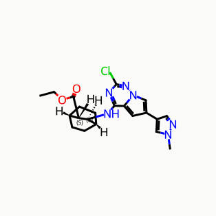 CCOC(=O)[C@H]1[C@H]2CC[C@H](CC2)[C@@H]1Nc1nc(Cl)nn2cc(-c3cnn(C)c3)cc12